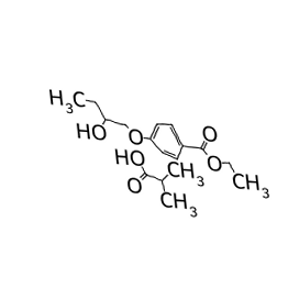 CC(C)C(=O)O.CCOC(=O)c1ccc(OCC(O)CC)cc1